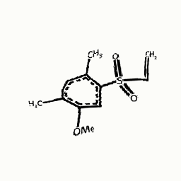 C=CS(=O)(=O)c1cc(OC)c(C)cc1C